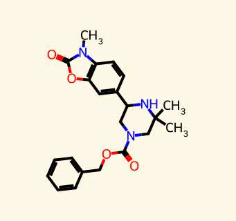 Cn1c(=O)oc2cc(C3CN(C(=O)OCc4ccccc4)CC(C)(C)N3)ccc21